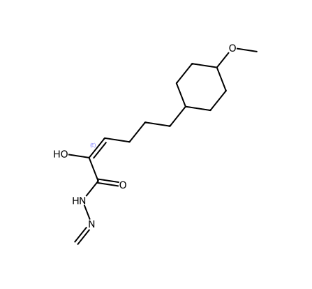 C=NNC(=O)/C(O)=C\CCCC1CCC(OC)CC1